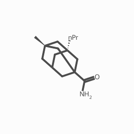 CCC[C@]12CC3CC(C(N)=O)(C[C@](C)(C3)C1)C2